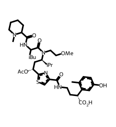 CCC(C)C(NC(=O)C1CCCCN1C)C(=O)N(CCOC)[C@H](C[C@@H](OC(C)=O)c1nc(C(=O)NCC[C@@H](C(=O)O)c2cc(O)ccc2C)cs1)C(C)C